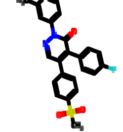 Cc1cccc(-n2ncc(-c3ccc(S(C)(=O)=O)cc3)c(-c3ccc(F)cc3)c2=O)c1